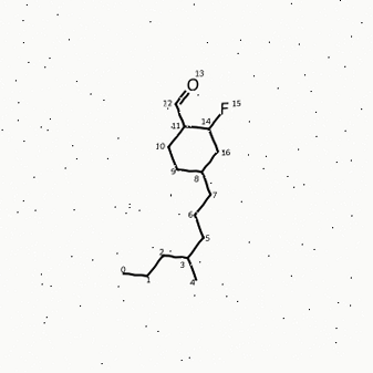 CCCC(C)CCCC1CCC(C=O)C(F)C1